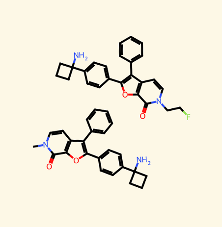 Cn1ccc2c(-c3ccccc3)c(-c3ccc(C4(N)CCC4)cc3)oc2c1=O.NC1(c2ccc(-c3oc4c(=O)n(CCF)ccc4c3-c3ccccc3)cc2)CCC1